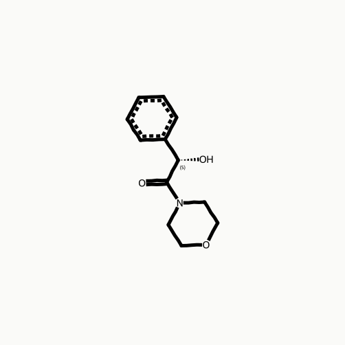 O=C([C@@H](O)c1ccccc1)N1CCOCC1